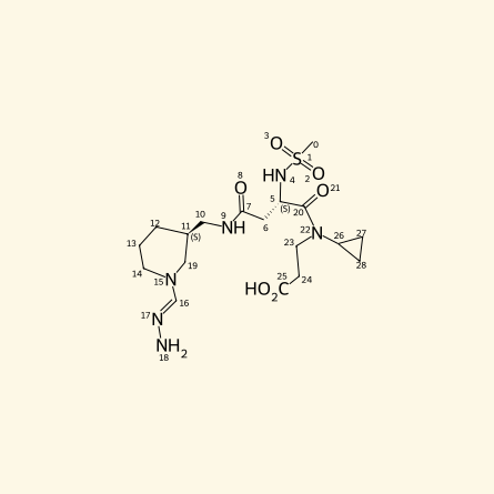 CS(=O)(=O)N[C@@H](CC(=O)NC[C@@H]1CCCN(C=NN)C1)C(=O)N(CCC(=O)O)C1CC1